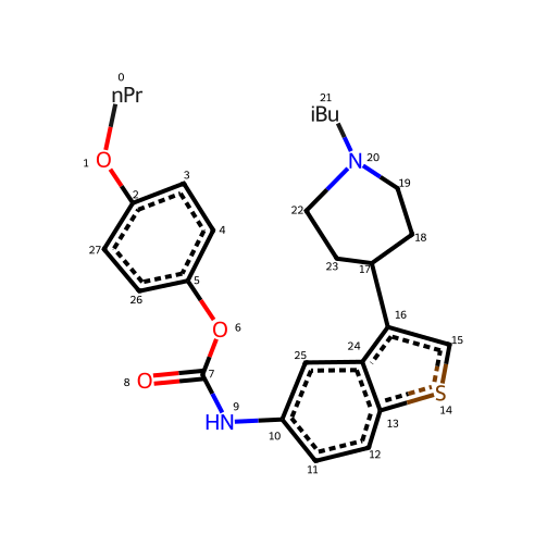 CCCOc1ccc(OC(=O)Nc2ccc3scc(C4CCN(C(C)CC)CC4)c3c2)cc1